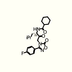 CC(C)C[C@H](NC(=O)C1CCCCC1)C(=O)Cn1c(-c2ccc(F)cc2)noc1=O